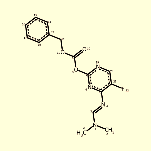 CN(C)/C=N/c1nc(OC(=O)OCc2ccccc2)ncc1F